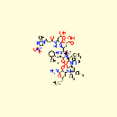 CCCCC(NC(=O)[C@H](CC(C)C)NC(=O)[C@@H](NC(=O)[C@H](Cc1ccccc1C)NC(=O)[C@H](CCC(=O)O)NC(=O)[C@H](CC(=O)O)NC(=O)CCn1cc([N+](=O)[O-])nc1C)C(C)(C)C)C(=O)C(N)=O